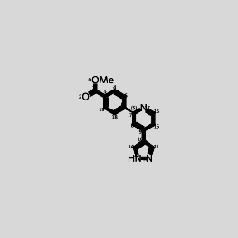 COC(=O)c1ccc([C@@H]2C=C(c3cn[nH]c3)CC=N2)cc1